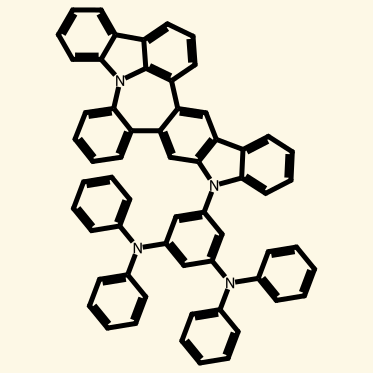 c1ccc(N(c2ccccc2)c2cc(N(c3ccccc3)c3ccccc3)cc(-n3c4ccccc4c4cc5c(cc43)-c3ccccc3-n3c4ccccc4c4cccc-5c43)c2)cc1